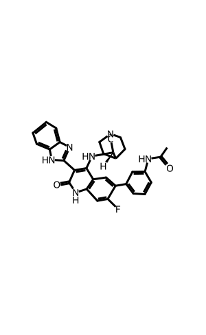 CC(=O)Nc1cccc(-c2cc3c(N[C@@H]4CN5CCC4CC5)c(-c4nc5ccccc5[nH]4)c(=O)[nH]c3cc2F)c1